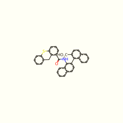 O=C(Nc1c(-c2c(C(=O)O)ccc3ccccc23)ccc2ccccc12)c1cccc2c1Cc1ccccc1S2